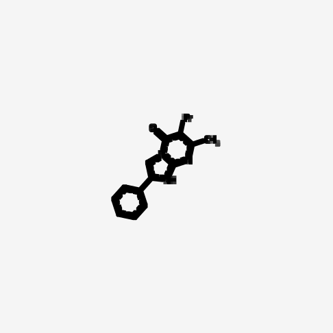 Cc1nc2[nH]c(-c3ccccc3)cn2c(=O)c1C(C)C